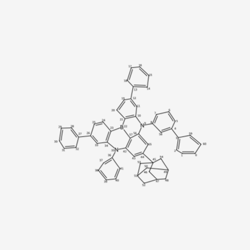 c1ccc(-c2cccc(N3c4cc(-c5ccccc5)ccc4B4c5ccc(-c6ccccc6)cc5N(c5ccccc5)c5cc(C67CC8CC(CC(C8)C6)C7)cc3c54)c2)cc1